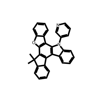 CC1(C)c2ccccc2-c2c1c1oc3ccccc3c1c1c2c2ccccc2n1-c1cccnc1